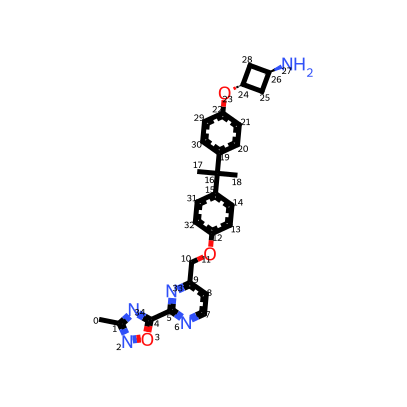 Cc1noc(-c2nccc(COc3ccc(C(C)(C)c4ccc(O[C@H]5C[C@H](N)C5)cc4)cc3)n2)n1